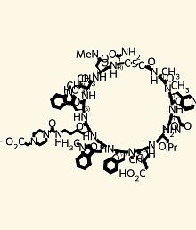 CNC(=O)C[C@@H]1NC(=O)[C@H]([C@@H](C)O)NC(=O)[C@H](Cc2cn(C)c3ccccc23)NC(=O)[C@H](CCCCNC(=O)N2CCN(CC(=O)O)CC2)NC(=O)[C@H](Cc2cn(C)c3ccccc23)NC(=O)[C@H](Cc2ccccc2)N(C)C(=O)[C@H](CCCC(=O)O)NC(=O)C(CC(C)C)NC(=O)[C@H](CC(N)=O)NC(=O)[C@H](Cc2cccnc2)N(C)C(=O)[C@@H](C)NC(=O)CSC[C@@H](C(N)=O)NC1=O